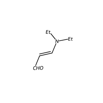 CCN(/C=C/C=O)CC